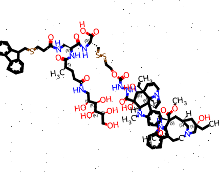 CC[C@]1(O)C[C@H]2CN(CCc3c([nH]c4ccccc34)[C@@](C(=O)OC)(c3cc4c(cc3OC)N(C)[C@H]3[C@@](O)(C(=O)NNC(=O)OCCSSC[C@H](NC(=O)[C@H](CNC(=O)CCSCC5c6ccccc6-c6ccccc65)NC(=O)[C@@H](C)CCC(=O)NC[C@H](O)[C@@H](O)[C@H](O)[C@H](O)CO)C(=O)O)[C@H](O)[C@]5(CC)C=CCN6CC[C@]43[C@@H]65)C2)C1